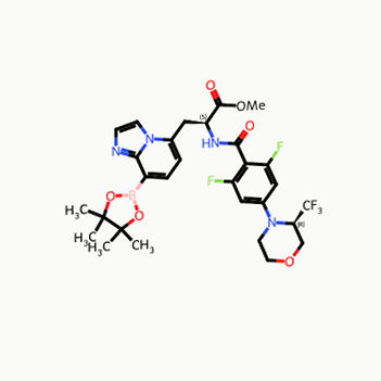 COC(=O)[C@H](Cc1ccc(B2OC(C)(C)C(C)(C)O2)c2nccn12)NC(=O)c1c(F)cc(N2CCOC[C@@H]2C(F)(F)F)cc1F